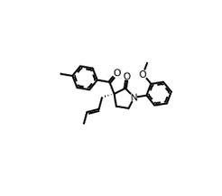 C/C=C/C[C@@]1(C(=O)c2ccc(C)cc2)CCN(c2ccccc2OC)C1=O